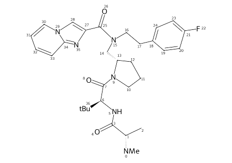 CN[C@@H](C)C(=O)N[C@H](C(=O)N1CCC[C@H]1CN(CCc1ccc(F)cc1)C(=O)c1cn2ccccc2n1)C(C)(C)C